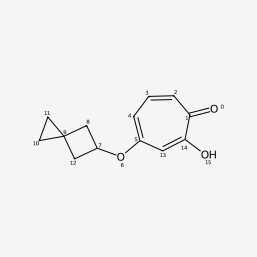 O=c1cccc(OC2CC3(CC3)C2)cc1O